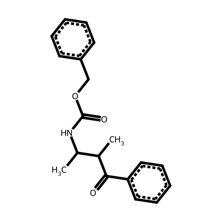 CC(NC(=O)OCc1ccccc1)C(C)C(=O)c1ccccc1